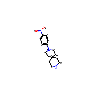 O=[N+]([O-])c1ccc(N2CCC3(CCNCC3)CC2)cc1